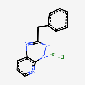 Cl.Cl.c1ccc(CC2=Nc3cccnc3NN2)cc1